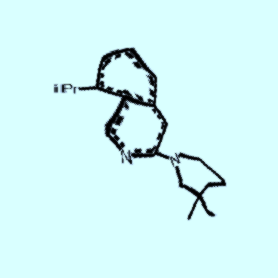 CC(C)c1cccc2cc(N3CCC(C)(C)C3)ncc12